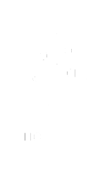 CC1(c2cc(CO)cs2)OCCO1